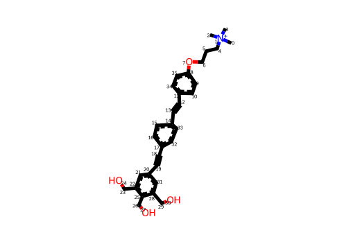 C[N+](C)(C)CCCOc1ccc(C#Cc2ccc(C#Cc3cc(CO)c(CO)c(CO)c3)cc2)cc1